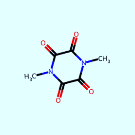 CN1C(=O)C(=O)N(C)C(=O)C1=O